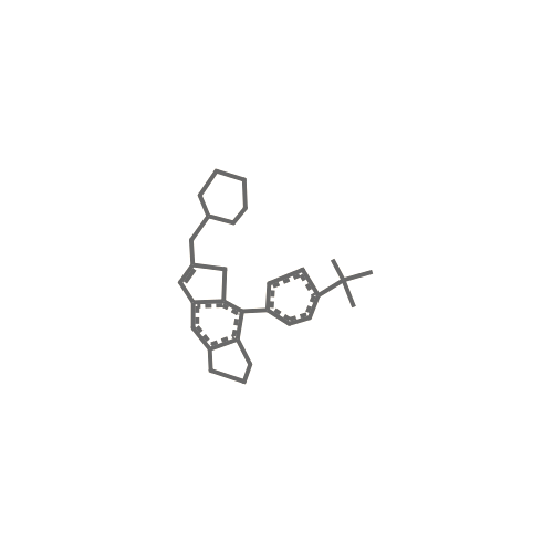 CC(C)(C)c1ccc(-c2c3c(cc4c2CCC4)C=C(CC2CCCCC2)C3)cc1